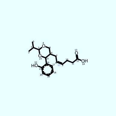 CC(C)C1OCC(C/C=C\CCC(=O)O)C(c2ccccc2O)O1